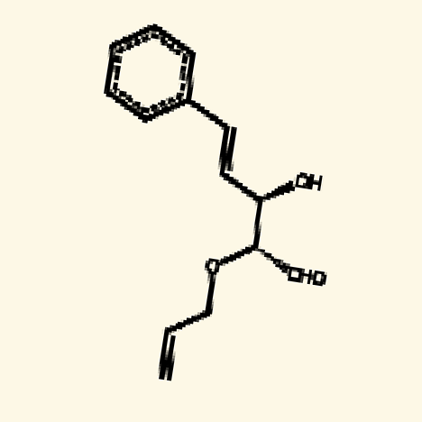 C=CCO[C@@H](C=O)[C@H](O)/C=C/c1ccccc1